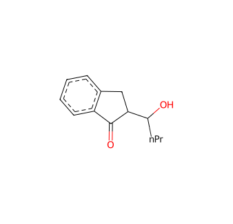 CCCC(O)C1Cc2ccccc2C1=O